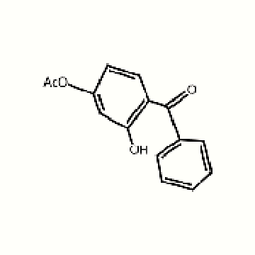 CC(=O)Oc1ccc(C(=O)c2ccccc2)c(O)c1